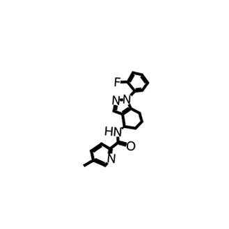 Cc1ccc(C(=O)N[C@@H]2CCCc3c2cnn3-c2ccccc2F)nc1